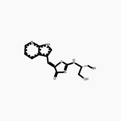 CC(C)C[C@H](CO)NC1=NC(=O)/C(=C/c2c[nH]c3ncccc23)S1